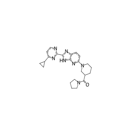 O=C(C1CCCN(c2ccc3nc(-c4nccc(C5CC5)n4)[nH]c3n2)C1)N1CCCC1